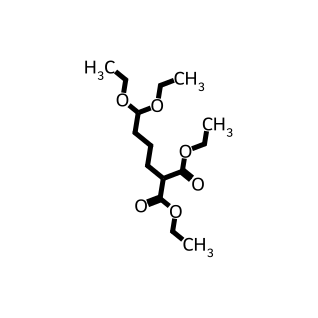 CCOC(=O)C(CCCC(OCC)OCC)C(=O)OCC